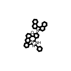 c1ccc(C2=NC(c3ccccc3)NC(c3ccc(-n4c5ccc6ccccc6c5c5c6ccccc6ccc54)c4oc5ccc6ccccc6c5c34)=N2)cc1